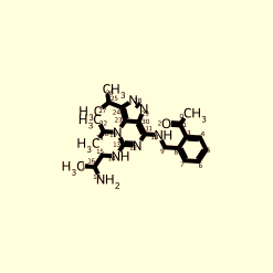 CC(=O)c1ccccc1CNc1nc(NCC(C)N)n(C(C)C)c2c(C(C)C)nnc1-2